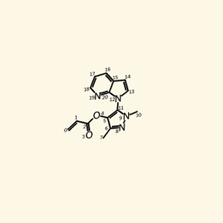 C=CC(=O)Oc1c(C)nn(C)c1-n1ccc2cccnc21